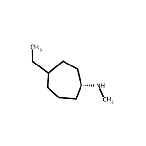 CCC1CCC[C@@H](NC)CC1